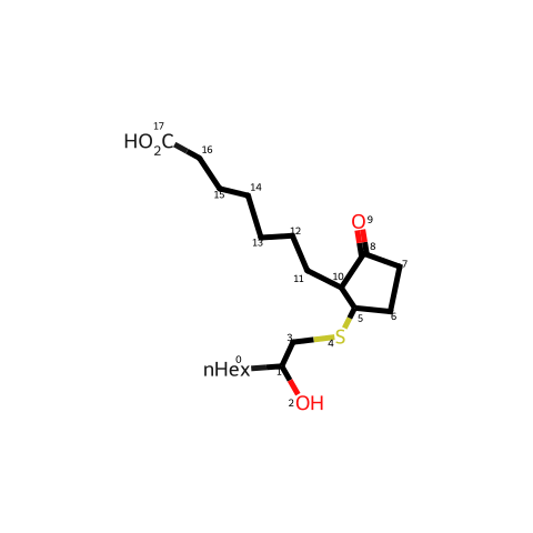 CCCCCCC(O)CSC1CCC(=O)C1CCCCCCC(=O)O